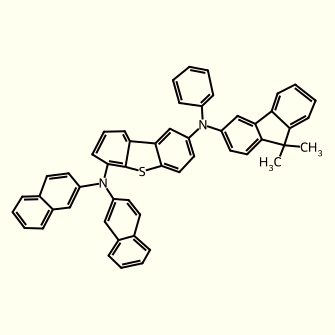 CC1(C)c2ccccc2-c2cc(N(c3ccccc3)c3ccc4sc5c(N(c6ccc7ccccc7c6)c6ccc7ccccc7c6)cccc5c4c3)ccc21